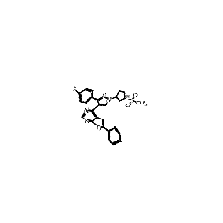 CS(=O)(=O)[C@@H]1CCC(n2cc(-c3ncnc4oc(-c5ccccc5)cc34)c(-c3ccc(F)cc3)n2)C1